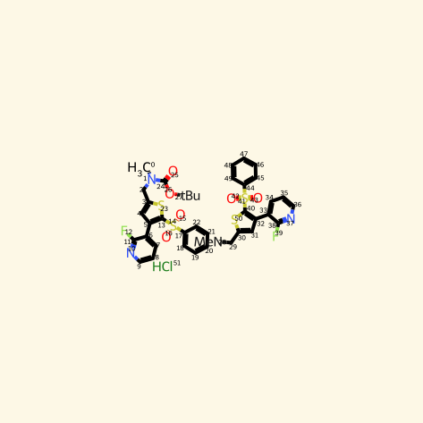 CN(Cc1cc(-c2cccnc2F)c(S(=O)(=O)c2ccccc2)s1)C(=O)OC(C)(C)C.CNCc1cc(-c2cccnc2F)c(S(=O)(=O)c2ccccc2)s1.Cl